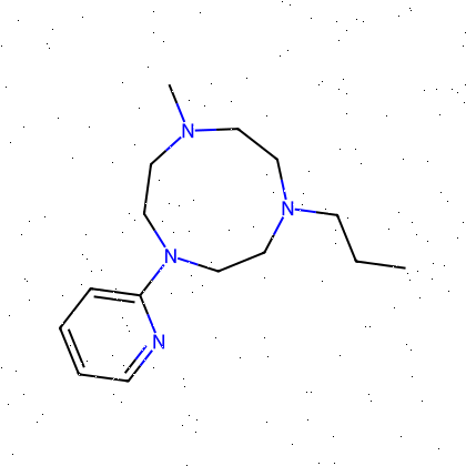 CCCN1CCN(C)CCN(c2ccccn2)CC1